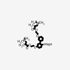 C=C(CN(C)C)C(=O)OCCOc1cccc(-c2cc(OCCOC(=O)C(=C)CN(C)C)ccc2CCCCCCC)c1